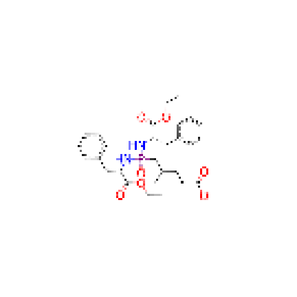 CCOC(=O)[C@H](Cc1ccccc1)NP(=O)(CC(C)CCC(=O)OC)N[C@@H](Cc1ccccc1)C(=O)OCC